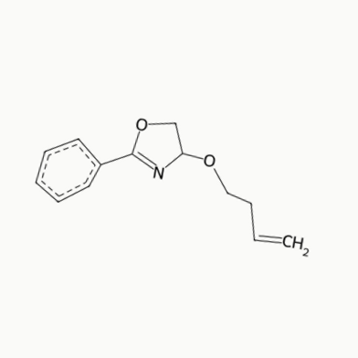 C=CCCOC1COC(c2ccccc2)=N1